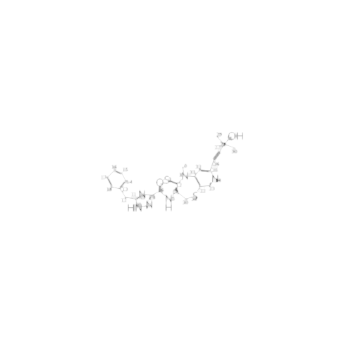 CN1C(=S)[C@@H](NC(=O)c2n[nH]c(Cc3ccccc3)n2)CSc2cnc(C#CC(C)(C)O)cc21